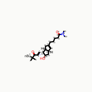 CCCCC(C)(C)C(=O)/C=C/[C@@H]1[C@H]2CC(CCCCC(=O)N(C)C)=C[C@H]2C[C@H]1O